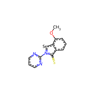 COc1cccc2c(=S)n(-c3ncccn3)[se]c12